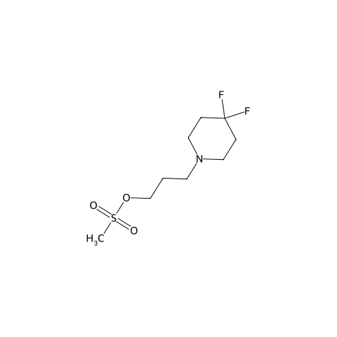 CS(=O)(=O)OCCCN1CCC(F)(F)CC1